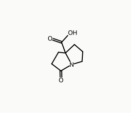 O=C1CCC2(C(=O)O)CCCN12